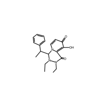 CCN1C(=O)c2c(O)c(=O)ccn2C(C(C)c2ccccc2)N1CC